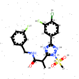 CC(C(=O)NCc1cccc(F)c1)c1nc(-c2ccc(Cl)c(F)c2)nn1S(C)(=O)=O